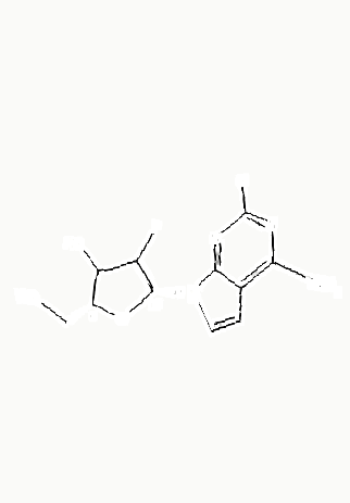 Nc1nc(Cl)nc2c1ccn2[C@@H]1O[C@H](CO)C(O)C1F